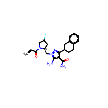 C=CC(=O)N1C[C@@H](F)C[C@H]1Cn1nc(C2CCc3ccccc3C2)c(C(N)=O)c1N